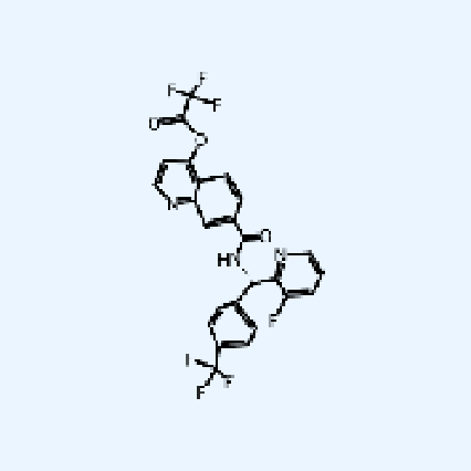 O=C(N[C@@H](c1ccc(C(F)(F)F)cc1)c1ncccc1F)c1ccc2c(OC(=O)C(F)(F)F)ccnc2c1